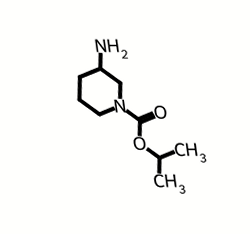 CC(C)OC(=O)N1CCCC(N)C1